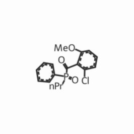 CCCP(=O)(C(=O)c1c(Cl)cccc1OC)c1ccccc1